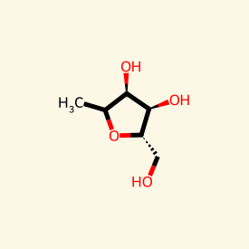 CC1O[C@@H](CO)[C@H](O)[C@@H]1O